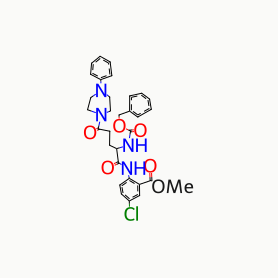 COC(=O)c1cc(Cl)ccc1NC(=O)C(CCC(=O)N1CCN(c2ccccc2)CC1)NC(=O)OCc1ccccc1